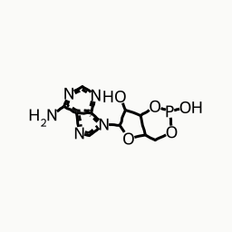 Nc1ncnc2c1ncn2C1OC2COP(O)OC2C1O